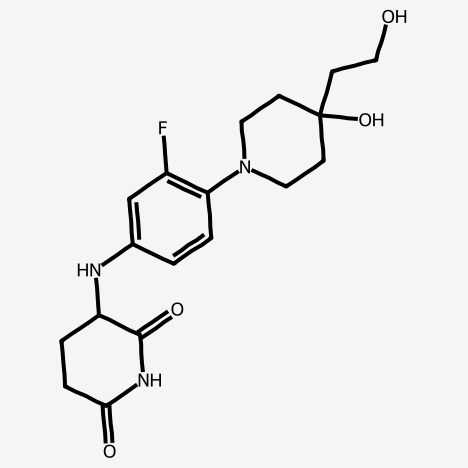 O=C1CCC(Nc2ccc(N3CCC(O)(CCO)CC3)c(F)c2)C(=O)N1